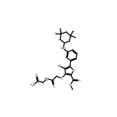 COC(=O)c1sc(-c2cccc(NC3CC(C)(C)CC(C)(C)C3)c2)c(Br)c1OCC(=O)NCC(N)=O